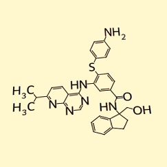 CC(C)c1ccc2c(Nc3cc(C(=O)NC4(CO)CCc5ccccc54)ccc3Sc3ccc(N)cc3)ncnc2n1